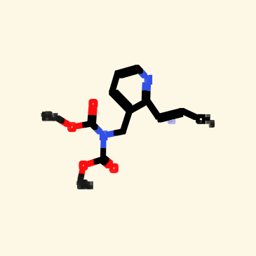 C/C=C/c1ncccc1CN(C(=O)OC(C)(C)C)C(=O)OC(C)(C)C